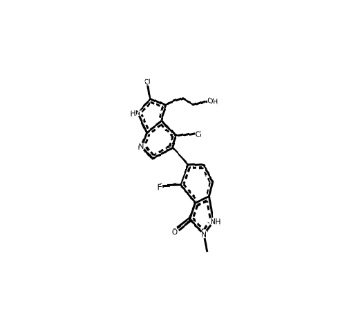 Cn1[nH]c2ccc(-c3cnc4[nH]c(Cl)c(CCO)c4c3Cl)c(F)c2c1=O